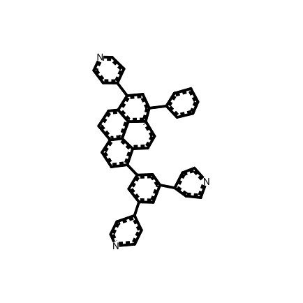 c1ccc(-c2cc(-c3ccncc3)c3ccc4ccc(-c5cc(-c6ccncc6)cc(-c6ccncc6)c5)c5ccc2c3c45)cc1